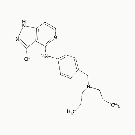 CCCN(CCC)Cc1ccc(Nc2nccc3[nH]nc(C)c23)cc1